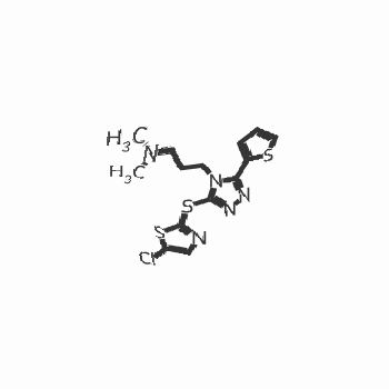 CN(C)CCCn1c(Sc2ncc(Cl)s2)nnc1-c1cccs1